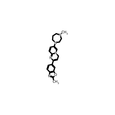 Cc1nc2ccc(C3=CCN4C=C(N5CCCN(C)CC5)C=CC4=N3)cc2o1